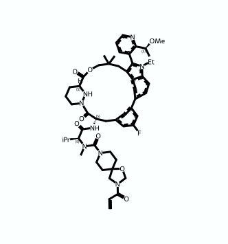 C=CC(=O)N1COC2(CCN(C(=O)N(C)[C@H](C(=O)N[C@H]3Cc4cc(F)cc(c4)-c4ccc5c(c4)c(c(-c4cccnc4[C@H](C)OC)n5CC)CC(C)(C)COC(=O)[C@@H]4CCCN(N4)C3=O)C(C)C)CC2)C1